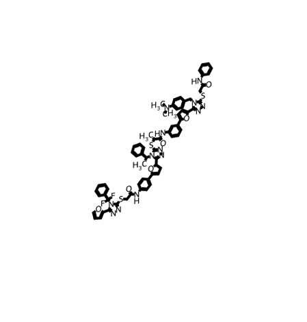 CC(Sc1nnc(C2CC=C(c3ccc(NC(=O)CSc4nnc(-c5ccco5)n4C(F)(F)c4ccccc4)cc3)O2)n1C(C)c1ccccc1)C(=O)Nc1cccc(-c2ccc(-c3nnc(SCC(=O)Nc4ccccc4)n3Cc3ccc(N(C)C)cc3)o2)c1